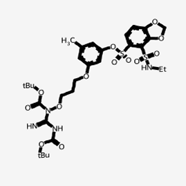 CCNS(=O)(=O)c1c(S(=O)(=O)Oc2cc(C)cc(OCCCON(C(=N)NC(=O)OC(C)(C)C)C(=O)OC(C)(C)C)c2)ccc2c1OCO2